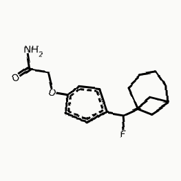 NC(=O)COc1ccc(C(F)C23CCCCC(C2)C3)cc1